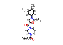 COC(=O)N1CCCN(C(=O)[C@@H]2CN(c3ccc(C#N)c(C(F)(F)F)c3)[C@@H](C(F)(F)F)O2)CC1